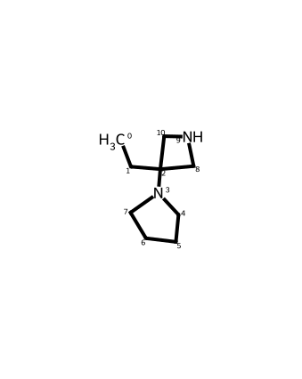 CCC1(N2CCCC2)CNC1